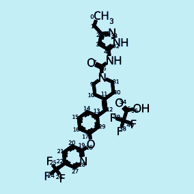 CCc1cc(NC(=O)N2CCC(=Cc3cccc(Oc4ccc(C(F)(F)F)cn4)c3)CC2)[nH]n1.O=C(O)C(F)(F)F